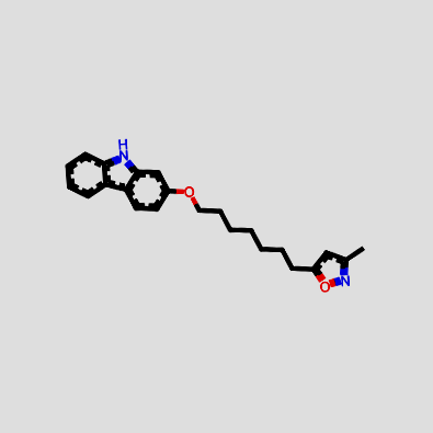 Cc1cc(CCCCCCCOc2ccc3c(c2)[nH]c2ccccc23)on1